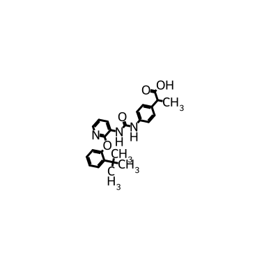 CC(C(=O)O)c1ccc(NC(=O)Nc2cccnc2Oc2ccccc2C(C)(C)C)cc1